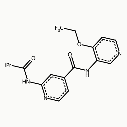 CC(C)C(=O)Nc1cc(C(=O)Nc2cnccc2OCC(F)(F)F)ccn1